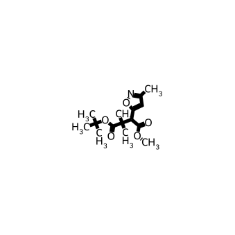 COC(=O)C(c1cc(C)no1)C(C)(C)C(=O)OC(C)(C)C